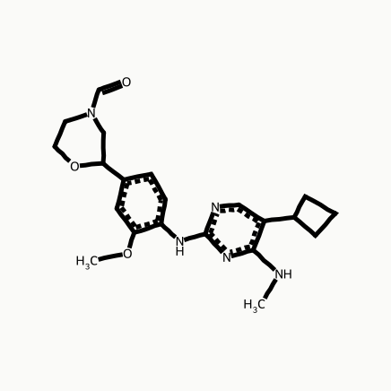 CNc1nc(Nc2ccc(C3CN(C=O)CCO3)cc2OC)ncc1C1CCC1